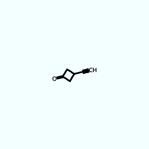 C#CC1CC(=O)C1